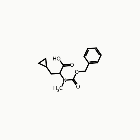 CN(C(=O)OCc1ccccc1)C(CC1CC1)C(=O)O